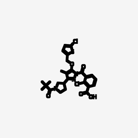 Cc1c(C2CCN(C(=O)C(C)(C)C)C2)nn(C(=O)c2cccc(C(=O)O)c2Cl)c1OCc1ccc(Cl)s1